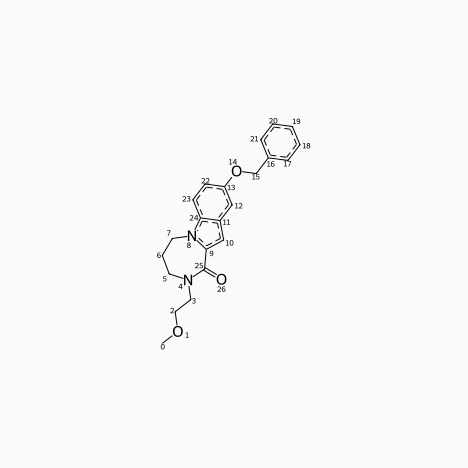 COCCN1CCCn2c(cc3cc(OCc4ccccc4)ccc32)C1=O